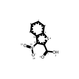 O=C(O)c1sc2ccccc2c1[N+](=O)[O-]